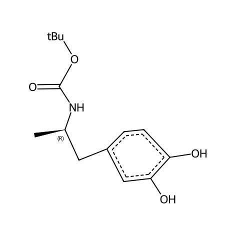 C[C@H](Cc1ccc(O)c(O)c1)NC(=O)OC(C)(C)C